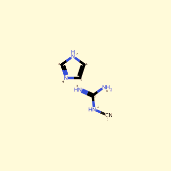 N#CNC(=N)N.c1c[nH]cn1